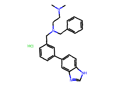 CN(C)CCN(Cc1ccccc1)Cc1cccc(-c2ccc3[nH]cnc3c2)c1.Cl